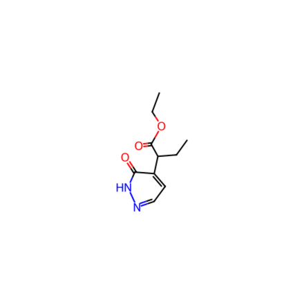 CCOC(=O)C(CC)c1ccn[nH]c1=O